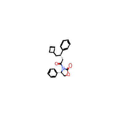 O=C(C[C@H](CC1CCC1)c1ccccc1)N1C(=O)OC[C@@H]1c1ccccc1